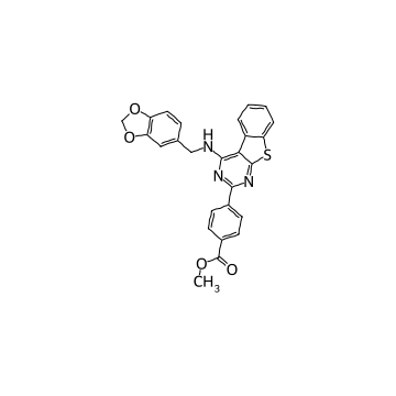 COC(=O)c1ccc(-c2nc(NCc3ccc4c(c3)OCO4)c3c(n2)sc2ccccc23)cc1